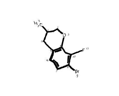 CC1COc2c(ccc(Br)c2F)C1